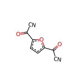 N#CC(=O)c1ccc(C(=O)C#N)o1